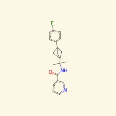 CC(C)(NC(=O)c1cccnc1)C12CC(c3ccc(F)cc3)(C1)C2